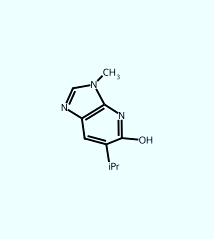 CC(C)c1cc2ncn(C)c2nc1O